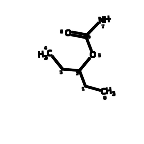 CCC(CC)OC([NH])=O